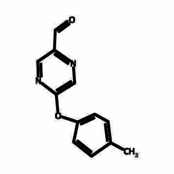 Cc1ccc(Oc2cnc(C=O)cn2)cc1